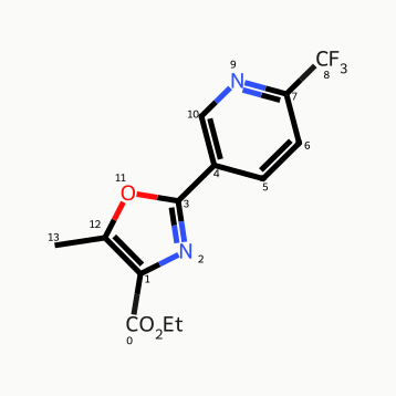 CCOC(=O)c1nc(-c2ccc(C(F)(F)F)nc2)oc1C